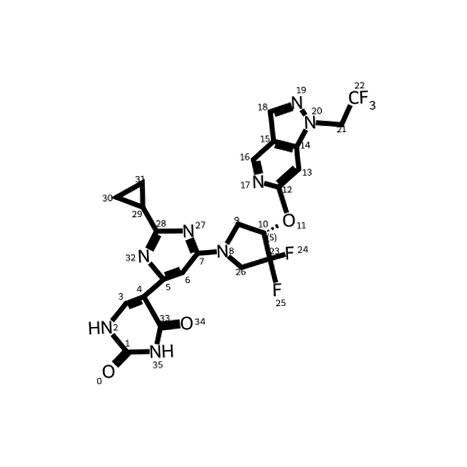 O=c1[nH]cc(-c2cc(N3C[C@H](Oc4cc5c(cn4)cnn5CC(F)(F)F)C(F)(F)C3)nc(C3CC3)n2)c(=O)[nH]1